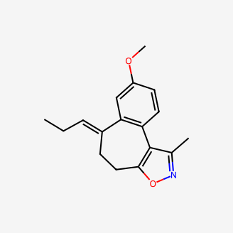 CCC=C1CCc2onc(C)c2-c2ccc(OC)cc21